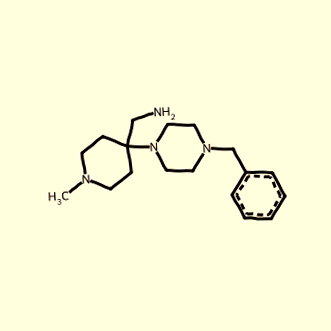 CN1CCC(CN)(N2CCN(Cc3ccccc3)CC2)CC1